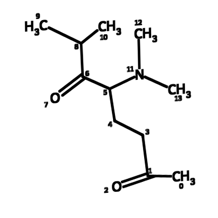 CC(=O)CCC(C(=O)C(C)C)N(C)C